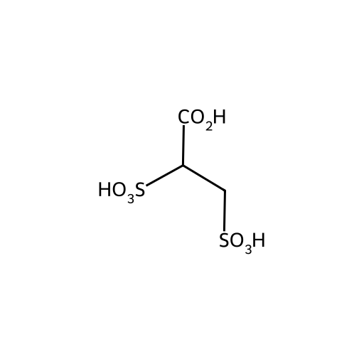 O=C(O)C(CS(=O)(=O)O)S(=O)(=O)O